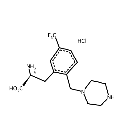 Cl.N[C@@H](Cc1cc(C(F)(F)F)ccc1CN1CCNCC1)C(=O)O